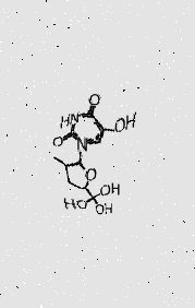 CC1CC(C(O)(O)O)OC1n1cc(O)c(=O)[nH]c1=O